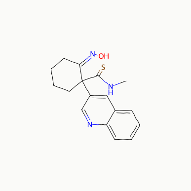 CNC(=S)C1(c2cnc3ccccc3c2)CCCC/C1=N/O